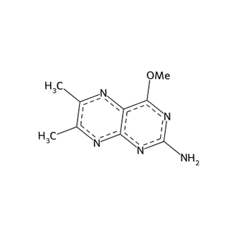 COc1nc(N)nc2nc(C)c(C)nc12